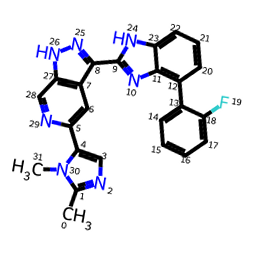 Cc1ncc(-c2cc3c(-c4nc5c(-c6ccccc6F)cccc5[nH]4)n[nH]c3cn2)n1C